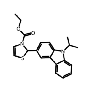 CCOC(=O)N1C=CSC1c1ccc2c(c1)c1ccccc1n2C(C)C